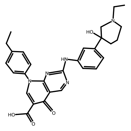 CCc1ccc(-n2cc(C(=O)O)c(=O)c3cnc(Nc4cccc(C5(O)CCCN(CC)C5)c4)nc32)cc1